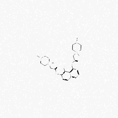 CN1CC[N+](C)(CC(=O)Nc2ccc3cccc(NC(=O)C[N+]4(C)CCN(C)CC4)c3c2O)CC1.[Cl-].[Cl-]